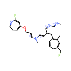 C/N=C/N=C\C(/C=C/N(C)/C=C/COC1=CCC=NC(F)=C1)CC1=C(C)C=C(CF)CC=C1